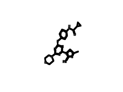 Cc1cn(-c2nc(Sc3ccc(NC(=O)C4CC4)cc3)nc(N3CCOCC3)n2)c(=N)s1